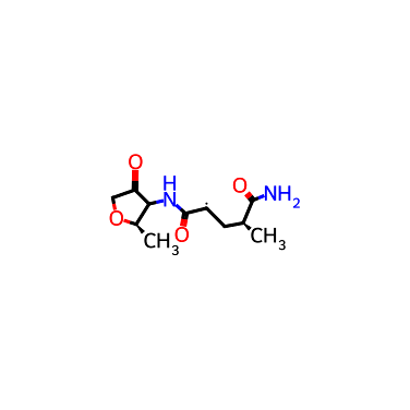 C[C@@H](C[CH]C(=O)NC1C(=O)CO[C@@H]1C)C(N)=O